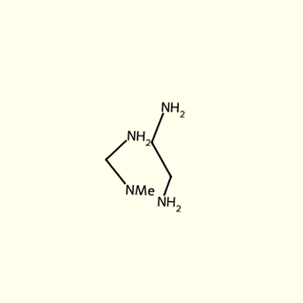 CNCN.NCCN